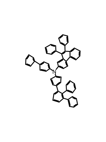 c1ccc(-c2ccc(N(c3ccc(-c4cccc(-c5ccccc5)c4-c4ccccc4)cc3)c3ccc4c(c3)c(-c3ccccc3)c(-c3ccccc3)c3ccccc34)cc2)cc1